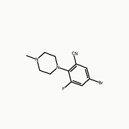 CN1CCN(c2c(F)cc(Br)cc2C#N)CC1